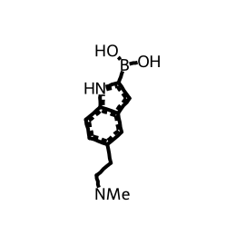 CNCCc1ccc2[nH]c(B(O)O)cc2c1